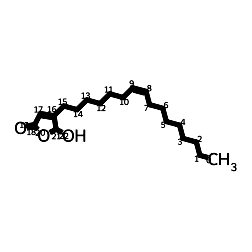 CCCCCCCC/C=C\CCCCCCC1=CC(=O)OC1O